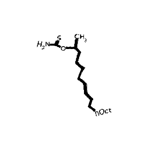 CCCCCCCCCCCCCCCCC(C)OC(N)=S